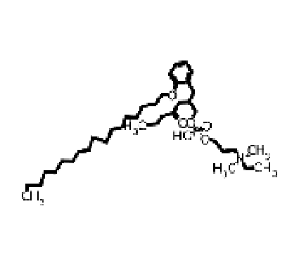 CCCCCCCCCCCCCCCCCCOc1ccccc1CC(COP(=O)(O)OCCC[N+](C)(C)CC)CC(=O)CCC